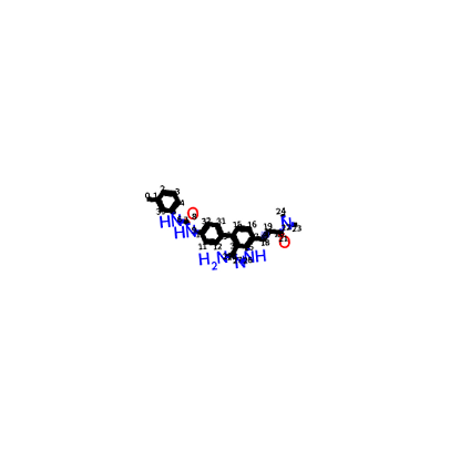 Cc1cccc(NC(=O)Nc2ccc(-c3ccc(/C=C/C(=O)N(C)C)c4[nH]nc(N)c34)cc2)c1